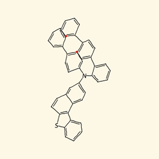 c1ccc(-c2ccc(-c3ccccc3N(c3ccc(-c4ccccc4)cc3)c3ccc4c(ccc5sc6ccccc6c54)c3)cc2)cc1